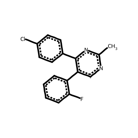 Cc1n[c]c(-c2ccccc2F)c(-c2ccc(Cl)cc2)n1